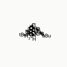 CCCCOCCOC(=O)OC1=C(C)NC(C)=C(c2nc(C(C)(C)C)no2)C1c1cccc(Cl)c1Cl